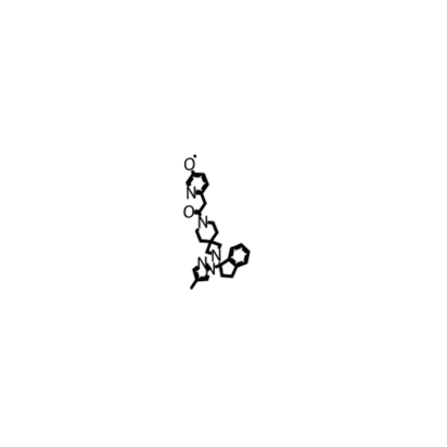 COc1ccc(CC(=O)N2CCC3(CC2)CN([C@@]2(n4cc(C)cn4)CCc4ccccc42)C3)nc1